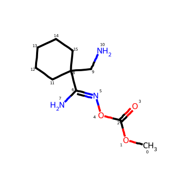 COC(=O)ON=C(N)C1(CN)CCCCC1